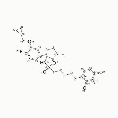 CN1CCC(NS(=O)(=O)CCCCCn2ccc(=O)[nH]c2=O)(c2ccc(F)c(OCC3CC3)c2)C1